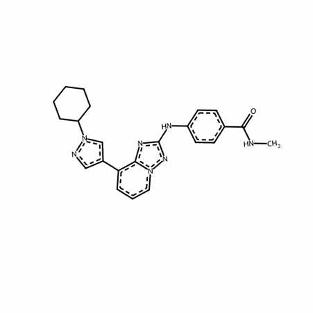 CNC(=O)c1ccc(Nc2nc3c(-c4cnn(C5CCCCC5)c4)cccn3n2)cc1